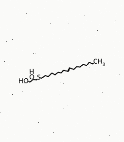 CCCCCCCCC=CCCCCCCCCSCC(O)CO